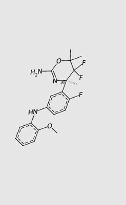 COc1ccccc1Nc1ccc(F)c([C@@]2(C)N=C(N)OC(C)(C)C2(F)F)c1